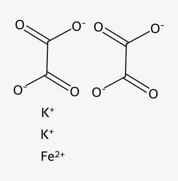 O=C([O-])C(=O)[O-].O=C([O-])C(=O)[O-].[Fe+2].[K+].[K+]